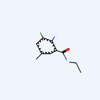 CCNC(=O)c1cc(C)cc(Br)c1N